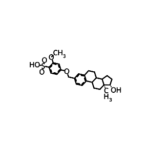 COc1cc(OCc2ccc3c(c2)CCC2C3CC[C@@]3(C)C2CC[C@@H]3O)ccc1S(=O)(=O)O